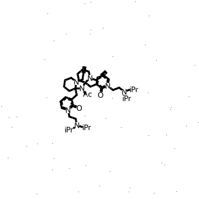 C#CCN1CCCCC1(Cc1cccn(CCN(C(C)C)C(C)C)c1=O)N(C(C)=O)C1(Cc2cccn(CCN(C(C)C)C(C)C)c2=O)CCCCN1CC#C